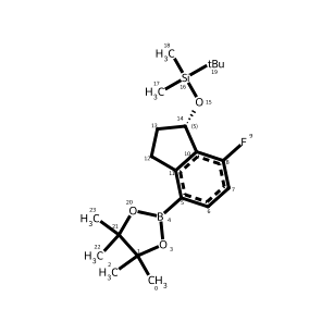 CC1(C)OB(c2ccc(F)c3c2CC[C@@H]3O[Si](C)(C)C(C)(C)C)OC1(C)C